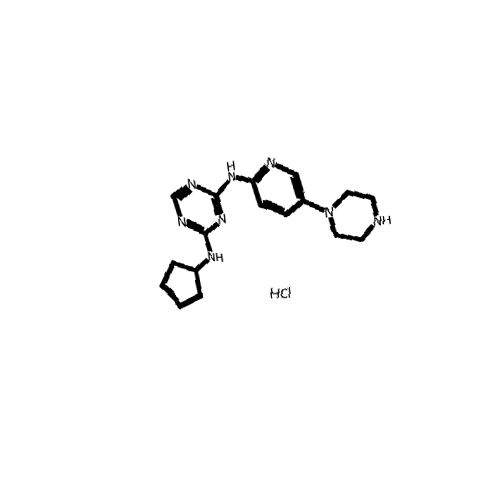 Cl.c1nc(Nc2ccc(N3CCNCC3)cn2)nc(NC2CCCC2)n1